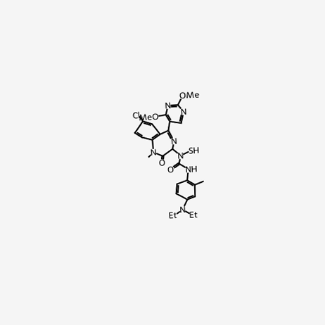 CCN(CC)c1ccc(NC(=O)N(S)C2N=C(c3cnc(OC)nc3OC)c3cc(Cl)ccc3N(C)C2=O)c(C)c1